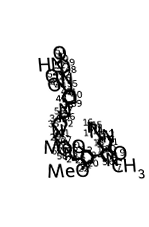 COc1cc(-c2cn(C)c(=O)c3cnc(N4CCC4)cc23)cc(OC)c1CN1CCC(CN2CCC3(CC2)CN(c2ccc4c(c2)C(=O)N([C@H]2CCC(=O)NC2=O)C4)C3)CC1